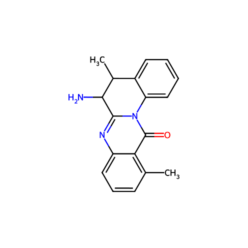 Cc1cccc2nc3n(c(=O)c12)-c1ccccc1C(C)C3N